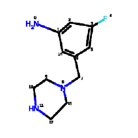 Nc1cc(F)cc(CN2CCNCC2)c1